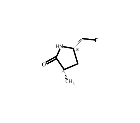 C[C@H]1C[C@@H](CF)NC1=O